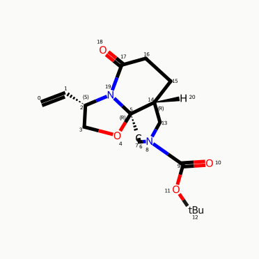 C=C[C@H]1CO[C@]23CCN(C(=O)OC(C)(C)C)C[C@H]2CCC(=O)N13